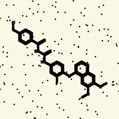 COc1cc2nccc(Oc3ccc(NC(=S)NC(=O)c4ccc(CCl)cc4)cc3F)c2cc1OC